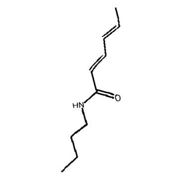 CC=CC=CC(=O)NCCCC